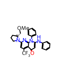 COC[C@H]1CCCN1c1cc(C(F)(F)F)c2c(=O)cc(Nc3ccccc3)n(-c3ccccc3)c2n1